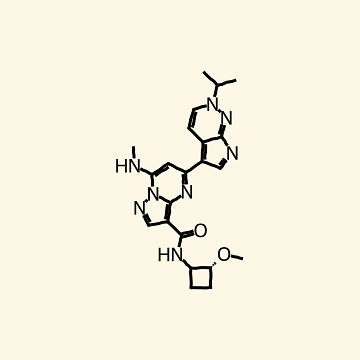 CNc1cc(-c2cnc3nn(C(C)C)ccc2-3)nc2c(C(=O)NC3CC[C@H]3OC)cnn12